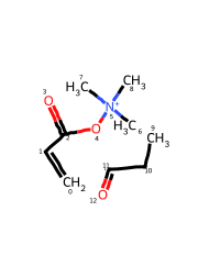 C=CC(=O)O[N+](C)(C)C.CC[C]=O